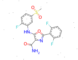 CS(=O)(=O)c1ccc(F)c(Nc2oc(-c3c(F)cccc3F)nc2C(N)=O)c1